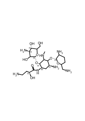 CNC1C(O[C@H]2OC(CN)CCC2N)[C@@H](N)C[C@@H](NC(=O)[C@@H](O)CCN)[C@@H]1O[C@H]1OC(CO)[C@@H](O)[C@H](N)C1O